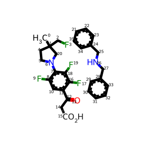 CC1(CF)CCN(c2c(F)cc(C(=O)CC(=O)O)c(F)c2F)C1.c1ccc(CNCc2ccccc2)cc1